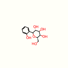 OC[C@H]1OC(c2ccccc2O)[C@H](O)[C@@H](O)[C@H]1O